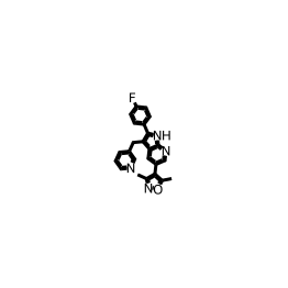 Cc1noc(C)c1-c1cnc2[nH]c(-c3ccc(F)cc3)c(Cc3cccnc3)c2c1